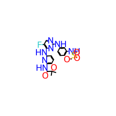 CC1(C)Oc2ccc(Nc3nc(Nc4ccc5c(c4)NS(=O)(=O)CO5)ncc3F)nc2NC1=O